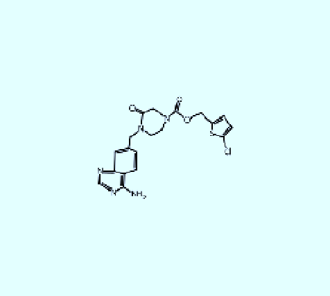 Nc1ncnc2cc(CN3CCN(C(=O)OCc4ccc(Cl)s4)CC3=O)ccc12